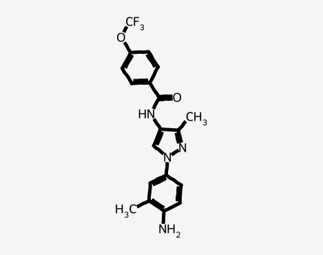 Cc1cc(-n2cc(NC(=O)c3ccc(OC(F)(F)F)cc3)c(C)n2)ccc1N